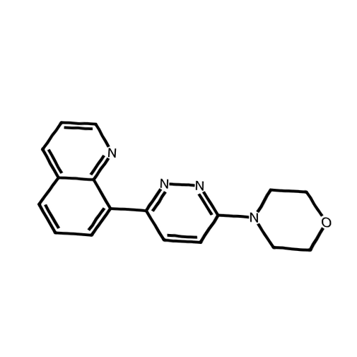 c1cnc2c(-c3ccc(N4CCOCC4)nn3)cccc2c1